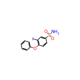 NS(=O)(=O)c1ccc(Oc2ccccc2)c(I)c1